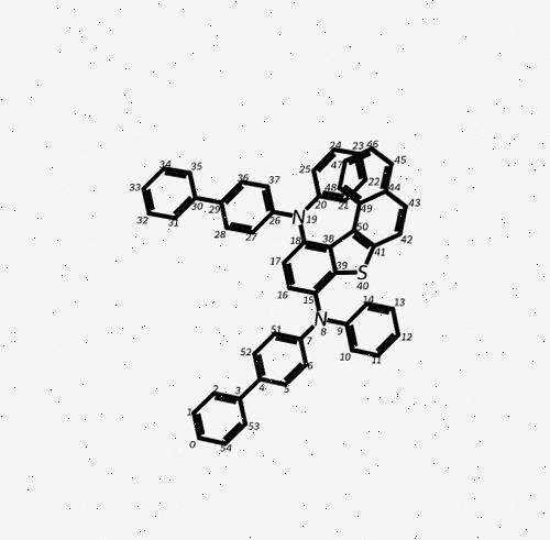 c1ccc(-c2ccc(N(c3ccccc3)c3ccc(N(c4ccccc4)c4ccc(-c5ccccc5)cc4)c4c3sc3ccc5ccccc5c34)cc2)cc1